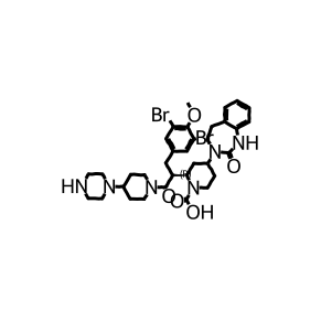 COc1c(Br)cc(CC(C(=O)N2CCC(N3CCNCC3)CC2)[C@H]2CC(N3CCc4ccccc4NC3=O)CCN2C(=O)O)cc1Br